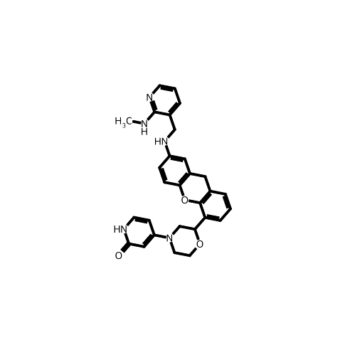 CNc1ncccc1CNc1ccc2c(c1)Cc1cccc(C3CN(c4cc[nH]c(=O)c4)CCO3)c1O2